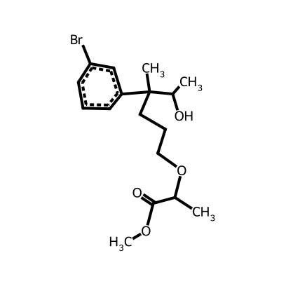 COC(=O)C(C)OCCCC(C)(c1cccc(Br)c1)C(C)O